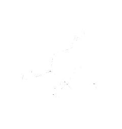 C=CCC(C)[N+](C)(O)O.[Cl-]